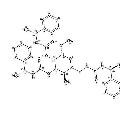 CO[C@@H]1OC(COC(=O)N[C@@H](C)c2ccccc2)[C@@H](C)C(OC(=O)N[C@H](C)c2ccccc2)[C@@H]1OC(=O)N[C@H](C)c1ccccc1